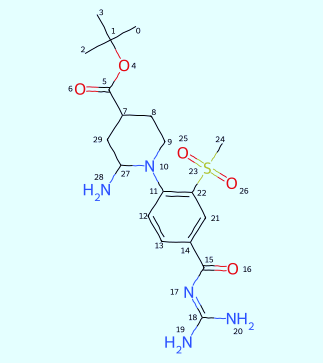 CC(C)(C)OC(=O)C1CCN(c2ccc(C(=O)N=C(N)N)cc2S(C)(=O)=O)C(N)C1